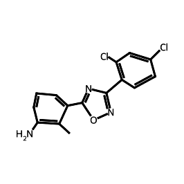 Cc1c(N)cccc1-c1nc(-c2ccc(Cl)cc2Cl)no1